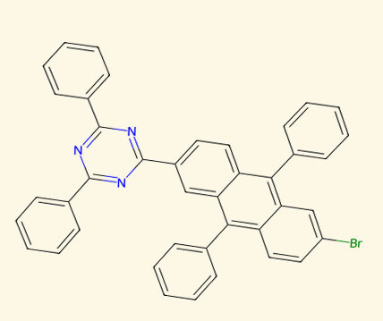 Brc1ccc2c(-c3ccccc3)c3cc(-c4nc(-c5ccccc5)nc(-c5ccccc5)n4)ccc3c(-c3ccccc3)c2c1